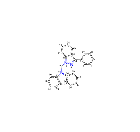 c1ccc(-c2nn(Cn3c4ccccc4c4ccccc43)c3ccccc23)cc1